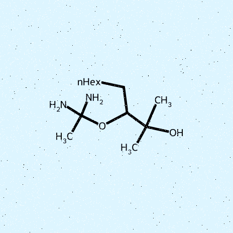 CCCCCCCC(OC(C)(N)N)C(C)(C)O